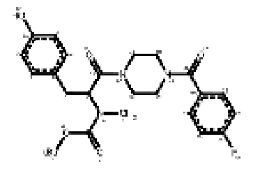 CN(C(=O)OC(C)(C)C)C(Cc1ccc(O)cc1)C(=O)N1CCN(C(=O)c2ccc(F)cc2)CC1